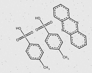 Cc1ccc(S(=O)(=O)O)cc1.Cc1ccc(S(=O)(=O)O)cc1.c1ccc2nc3ccccc3nc2c1